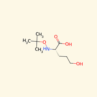 CC(C)(C)ON[C@@H](CCCO)C(=O)O